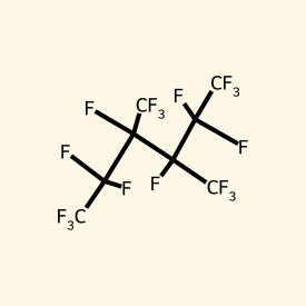 FC(F)(F)C(F)(F)C(F)(C(F)(F)F)C(F)(C(F)(F)F)C(F)(F)C(F)(F)F